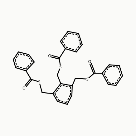 O=C(SCc1cccc(CSC(=O)c2ccccc2)c1CSC(=O)c1ccccc1)c1ccccc1